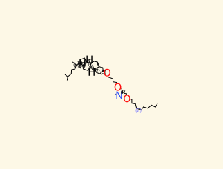 CCCCC/C=C\CCCOC[C@H](COCCCCO[C@H]1CC[C@@]2(C)C(=CC[C@H]3[C@@H]4CC[C@H]([C@H](C)CCCC(C)C)[C@@]4(C)CC[C@@H]32)C1)N(C)C